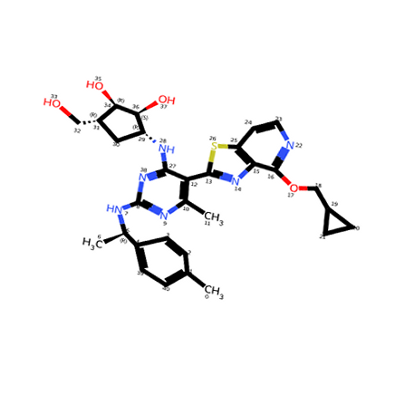 Cc1ccc([C@@H](C)Nc2nc(C)c(-c3nc4c(OCC5CC5)nccc4s3)c(N[C@@H]3C[C@H](CO)[C@@H](O)[C@H]3O)n2)cc1